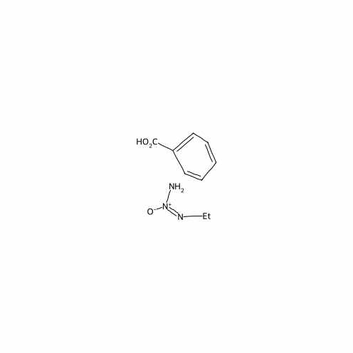 CC/N=[N+](\N)[O-].O=C(O)c1ccccc1